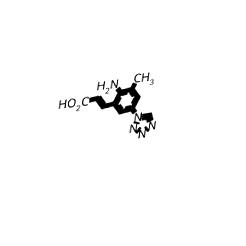 Cc1cc(-n2cnnn2)cc(C=CC(=O)O)c1N